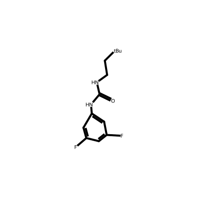 CC(C)(C)CCNC(=O)Nc1cc(F)cc(F)c1